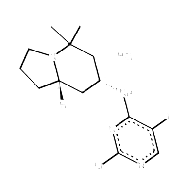 CC1(C)C[C@H](Nc2nc(Cl)ncc2F)C[C@@H]2CCCN21.Cl